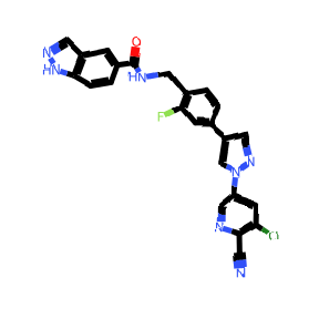 N#Cc1ncc(-n2cc(-c3ccc(CNC(=O)c4ccc5[nH]ncc5c4)c(F)c3)cn2)cc1Cl